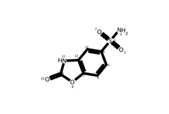 NS(=O)(=O)c1ccc2oc(=O)[nH]c2c1